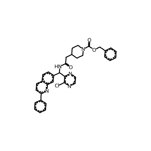 O=C(CC1CCN(C(=O)OCc2ccccc2)CC1)NC(c1ccc2ccc(-c3ccccc3)nc2c1)c1nccnc1Cl